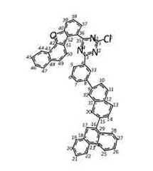 Clc1nc(-c2cccc(-c3ccc4ccc(-c5cc6ccccc6c6ccccc56)cc4c3)c2)nc(-c2cccc3oc4c5ccccc5ccc4c23)n1